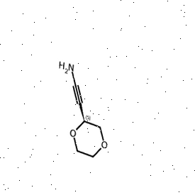 NC#C[C@H]1COCCO1